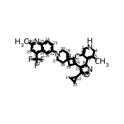 CC1=CNCC(C)=C1c1noc(C2CC2)c1C1=CC2(CCN(c3ccc4nc(C)cc(C(F)(F)F)c4c3)CC2)C1